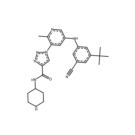 Cc1ncc(Nc2cc(C#N)cc(C(C)(C)C)c2)cc1-n1cc(C(=O)NC2CCNCC2)nn1